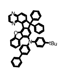 CC(C)(C)c1ccc(N(c2ccc(-c3ccccc3)cc2)c2cc3c(c4oc5ccccc5c24)-c2c(ccc4nccnc24)C3(c2ccccc2)c2ccccc2)cc1